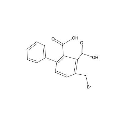 O=C(O)c1c(CBr)ccc(-c2ccccc2)c1C(=O)O